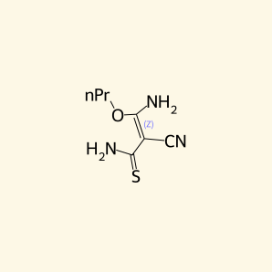 CCCO/C(N)=C(/C#N)C(N)=S